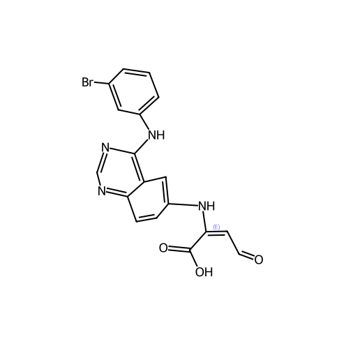 O=C/C=C(/Nc1ccc2ncnc(Nc3cccc(Br)c3)c2c1)C(=O)O